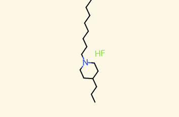 CCCCCCCCN1CCC(CCC)CC1.F